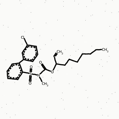 C=CC(CCCCCCC)OC(=O)N(C)S(=O)(=O)c1ccccc1-c1cccc(Cl)c1